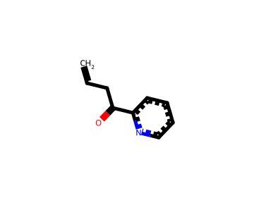 C=CCC(=O)c1ccccn1